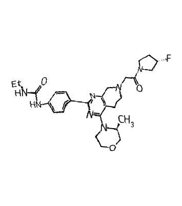 CCNC(=O)Nc1ccc(-c2nc3c(c(N4CCOC[C@@H]4C)n2)CCN(CC(=O)N2CC[C@H](F)C2)C3)cc1